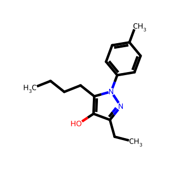 CCCCc1c(O)c(CC)nn1-c1ccc(C)cc1